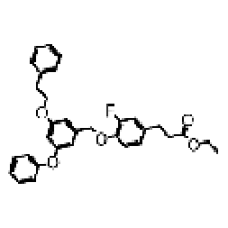 CCOC(=O)CCc1ccc(OCc2cc(OCCc3ccccc3)cc(Oc3ccccc3)c2)c(F)c1